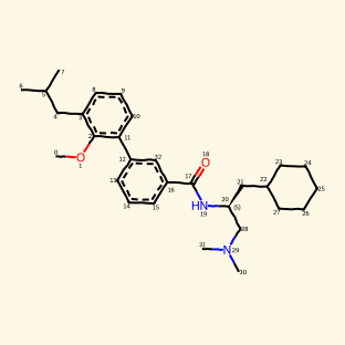 COc1c(CC(C)C)cccc1-c1cccc(C(=O)N[C@@H](CC2CCCCC2)CN(C)C)c1